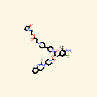 Cc1cc(C[C@@H](OC(=O)N2CCC(N3CCc4ccccc4NC3=O)CC2)C(=O)N2CCC(C3CCN(CCC(=O)OCCN4CCCC4=O)CC3)CC2)cc(Cl)c1N